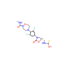 CNC(=O)N1CCN(c2c(F)cc(N3C[C@H](CNC(=S)OC)OC3=O)cc2F)CCO1